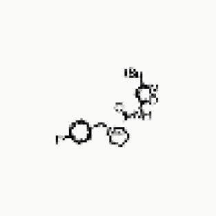 CC(C)(C)c1cc(NC(=O)[C@@H]2CCCN2Cc2ccc(F)cc2)on1